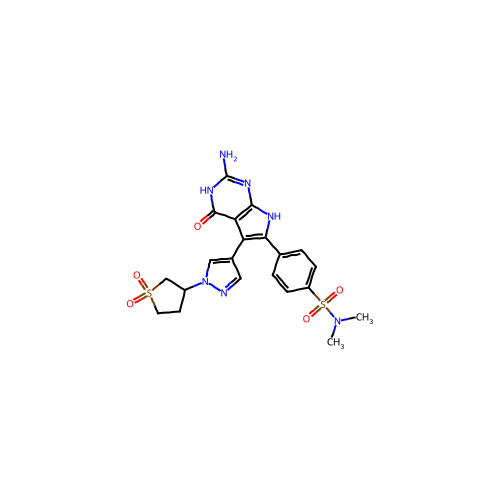 CN(C)S(=O)(=O)c1ccc(-c2[nH]c3nc(N)[nH]c(=O)c3c2-c2cnn(C3CCS(=O)(=O)C3)c2)cc1